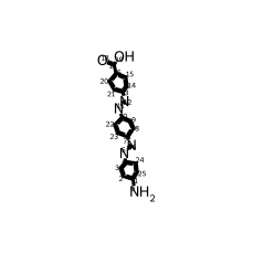 Nc1ccc(N=Nc2ccc(N=Nc3ccc(C(=O)O)cc3)cc2)cc1